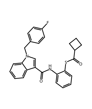 O=C(Nc1ccccc1SC(=O)C1CCC1)c1cn(Cc2ccc(F)cc2)c2ccccc12